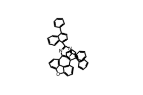 c1ccc(-c2nc(-c3ccc(-c4ccccc4)c4ccccc34)nc(-c3cccc4oc5cccc(-c6ccccc6-c6ccccc6)c5c34)n2)cc1